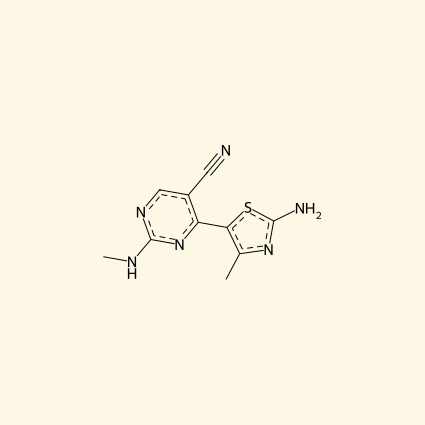 CNc1ncc(C#N)c(-c2sc(N)nc2C)n1